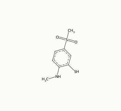 CNc1ccc(S(C)(=O)=O)cc1S